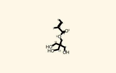 C/C=C(\C)C(=O)OCC(CO)(CO)CO